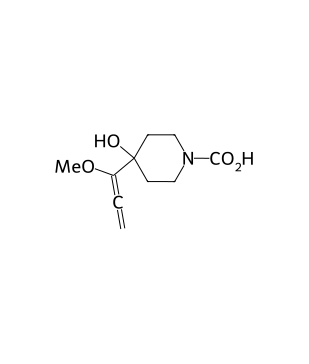 C=C=C(OC)C1(O)CCN(C(=O)O)CC1